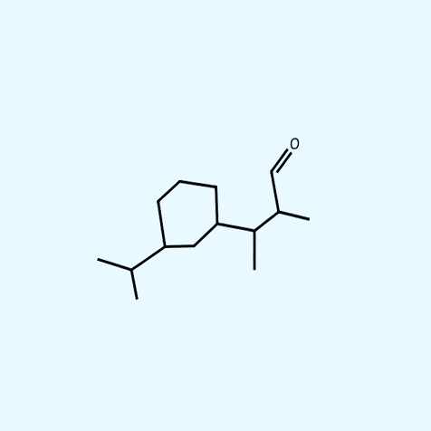 CC(C)C1CCCC(C(C)C(C)C=O)C1